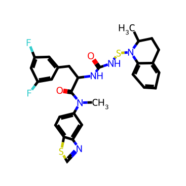 CC1CCc2ccccc2N1SNC(=O)NC(Cc1cc(F)cc(F)c1)C(=O)N(C)c1ccc2scnc2c1